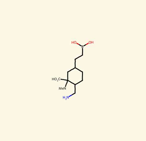 CNC1(C(=O)O)CC(CCB(O)O)CCC1CN